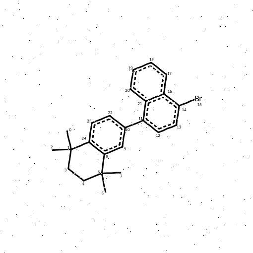 CC1(C)CCC(C)(C)c2cc(-c3ccc(Br)c4ccccc34)ccc21